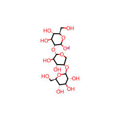 OC[C@H]1O[C@@H](O[C@@H]2CO[C@@H](O[C@H]3[C@H](OI)O[C@H](CO)[C@@H](O)[C@@H]3O)[C@H](O)[C@H]2O)[C@H](O)[C@@H](O)[C@@H]1O